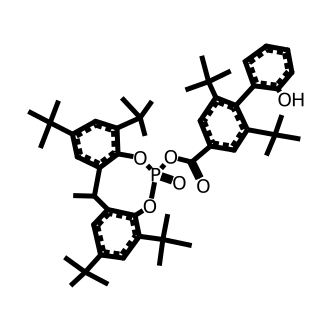 CC1c2cc(C(C)(C)C)cc(C(C)(C)C)c2OP(=O)(OC(=O)c2cc(C(C)(C)C)c(-c3ccccc3O)c(C(C)(C)C)c2)Oc2c1cc(C(C)(C)C)cc2C(C)(C)C